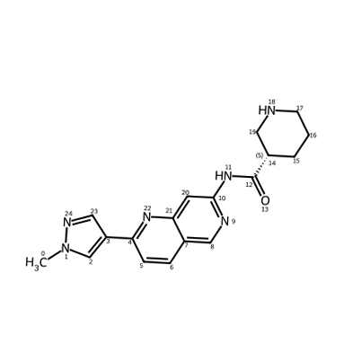 Cn1cc(-c2ccc3cnc(NC(=O)[C@H]4CCCNC4)cc3n2)cn1